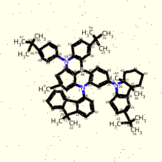 Cc1cc2c3c(c1)N(c1cccc4c1-c1ccccc1C4(C)C)c1cc(N4c5ccc(C(C)(C)C)cc5C5(C)CCCCC45C)ccc1B3c1cc(C(C)(C)C)ccc1N2c1ccc(C(C)(C)C)cc1